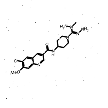 COc1cc2ncc(C(=O)NC3CCN(/C(=N/N)N(C)N)CC3)cc2cc1Cl